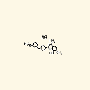 COc1cccc(CN2CCC([C@@H]3Cc4c(ccc(C)c4O)[C@H](CN)O3)CC2)c1.Cl.Cl